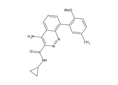 COc1ccc(C)cc1-c1cccc2c(N)c(C(=O)NC3CC3)nnc12